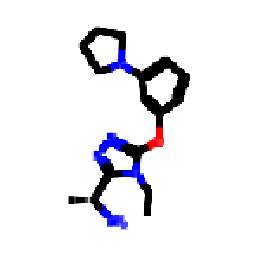 CCn1c(Oc2cccc(N3CCCC3)c2)nnc1[C@@H](C)N